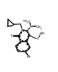 CCCCOc1c(N(C)C(=O)O)n(CC2CC2)c(=O)c2ccc(Br)cc12